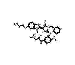 CCNc1ccc(NC(=O)CN(C)C)cc1N=C1SC(=C2Sc3ccc(OCCN)cc3N2C)C(=O)N1Cc1ccccc1